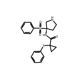 O=C(N[C@]1(S(=O)(=O)c2ccccc2)CCNC1)C1(Sc2ccccc2)CC1